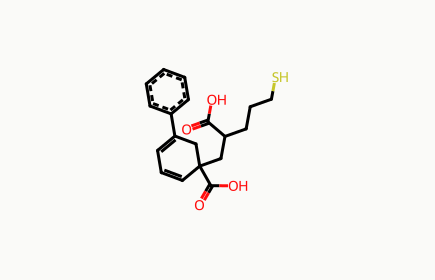 O=C(O)C(CCCS)CC1(C(=O)O)C=CC=C(c2ccccc2)C1